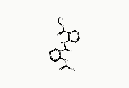 CCOC(=O)c1ccccc1NC(=O)c1ccccc1NC(C)=O